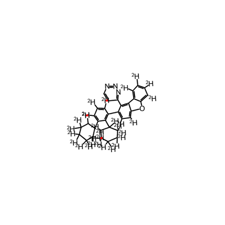 [2H]c1c([2H])c(-c2c([2H])c([2H])c3oc4c([2H])c([2H])c([2H])c([2H])c4c3c2-c2ccnnn2)c(C2([2H])C([2H])C([2H])([2H])C([2H])([2H])C([2H])([2H])C2([2H])[2H])c(C2([2H])C([2H])C([2H])([2H])C([2H])([2H])C([2H])([2H])C2([2H])[2H])c1[2H]